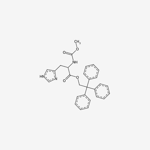 COC(=O)NC(Cc1c[nH]cn1)C(=O)OCC(c1ccccc1)(c1ccccc1)c1ccccc1